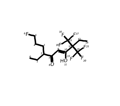 CCC(CCCF)C(=O)/C=C(\O)C(CC)(C(F)(F)F)C(F)(F)F